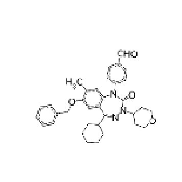 Cc1cc2c(cc1OCc1ccccc1)C(C1CCCCC1)=NN(C1CCOCC1)C(=O)N2c1ccc(C=O)cc1